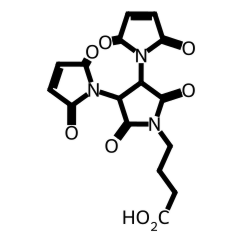 O=C(O)CCCN1C(=O)C(N2C(=O)C=CC2=O)C(N2C(=O)C=CC2=O)C1=O